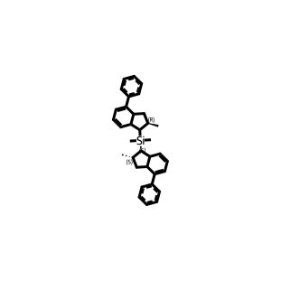 C[C@@H]1CC2C(c3ccccc3)=CC=CC2C1[Si](C)(C)[C@@H]1C2C=CC=C(c3ccccc3)C2C[C@@H]1C